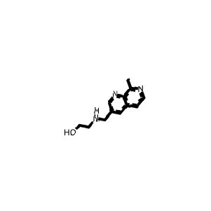 Cc1nccc2cc(CNCCO)cnc12